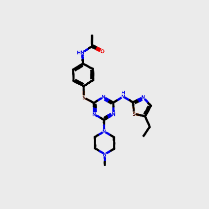 CCc1cnc(Nc2nc(Sc3ccc(NC(C)=O)cc3)nc(N3CCN(C)CC3)n2)s1